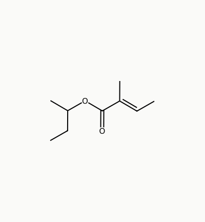 C/C=C(\C)C(=O)OC(C)CC